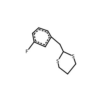 Fc1cccc(CC2SCCCS2)c1